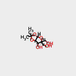 CC1(C)OC2C(O)C(CO)(CO)O[C@@H]2O1